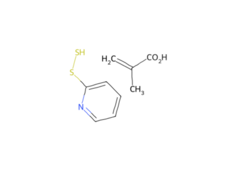 C=C(C)C(=O)O.SSc1ccccn1